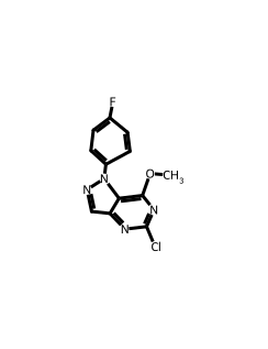 COc1nc(Cl)nc2cnn(-c3ccc(F)cc3)c12